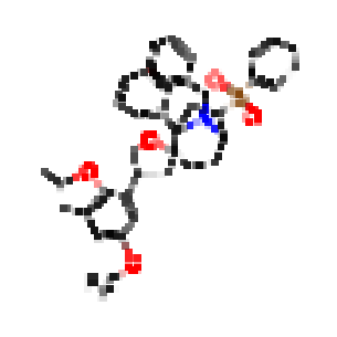 CC1Cc2cc(OC(F)(F)F)cc(C3COC4(CCC5C(S(=O)(=O)c6ccccc6)CC4(c4ccccc4)N5Cc4ccccc4)C3)c2O1